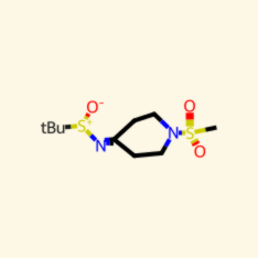 CC(C)(C)[S+]([O-])N=C1CCN(S(C)(=O)=O)CC1